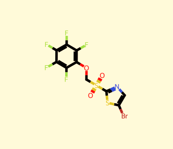 O=S(=O)(COc1c(F)c(F)c(F)c(F)c1F)c1ncc(Br)s1